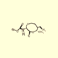 C=C[C@@H]1CCOC[C@H](NC(=O)OC(C)(C)C)C(=O)O[C@H]1C